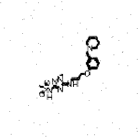 Cn1nc(NS(C)(=O)=O)nc1NCCCOc1cccc(CN2CCCCC2)c1